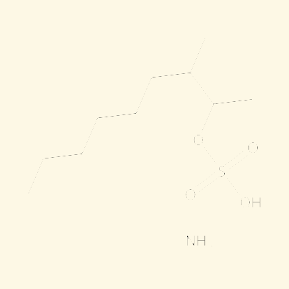 CCCCCCC(C)C(C)OS(=O)(=O)O.N